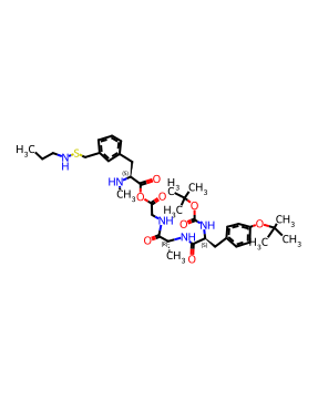 CCCNSCc1cccc(C[C@H](NC)C(=O)OC(=O)CNC(=O)[C@@H](C)NC(=O)[C@H](Cc2ccc(OC(C)(C)C)cc2)NC(=O)OC(C)(C)C)c1